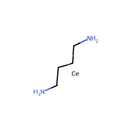 NCCCCN.[Ce]